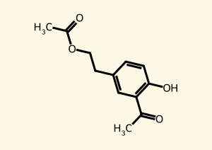 CC(=O)OCCc1ccc(O)c(C(C)=O)c1